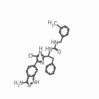 Cc1cccc(CNC(=O)NC(Cc2ccccc2)c2nc(-c3ccc4c(N)n[nH]c4c3)c(Cl)[nH]2)c1